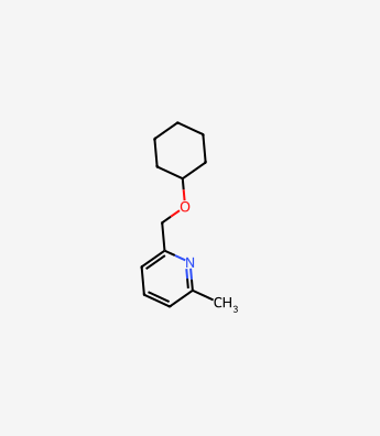 Cc1cccc(COC2CCCCC2)n1